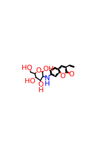 C=Cc1cc2ccc(NC3C(O)OC(CO)[C@H](O)[C@H]3O)cc2oc1=O